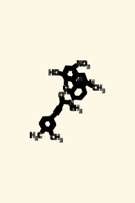 Cc1ccc(C#CC(=O)N(C)[C@H]2CC[C@H]3[C@H]4Cc5c([N+](=O)[O-])cc(O)c6c5[C@@]3(CCN4C)[C@H]2O6)cc1C